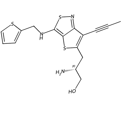 CC#Cc1c(C[C@@H](N)CO)sc2c(NCc3cccs3)snc12